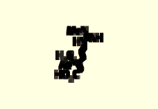 CNC(=N)NCCC[C@@H](CC(=O)O)N(C)C(C)=O